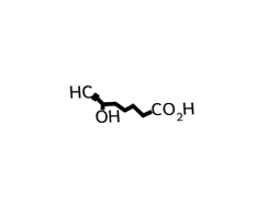 C#CC(O)CCCCC(=O)O